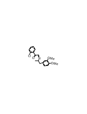 COc1ccc(CC(C)/N=C\C(=O)c2ccccc2Cl)cc1OC